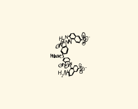 Nc1ccc2cc(S(=O)(=O)[O-])ccc2c1N=Nc1ccc(Oc2ccc(N=Nc3c(N)ccc4cc(S(=O)(=O)[O-])ccc34)c([N+](=O)[O-])c2)cc1[N+](=O)[O-].[Na+].[Na+]